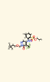 CCCOS(=O)(=O)c1ccc(C)cc1Nc1cnn(COCC[Si](C)(C)C)c(=O)c1C(F)(F)F